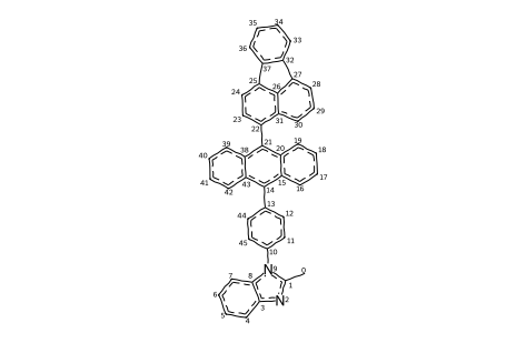 Cc1nc2ccccc2n1-c1ccc(-c2c3ccccc3c(-c3ccc4c5c(cccc35)-c3ccccc3-4)c3ccccc23)cc1